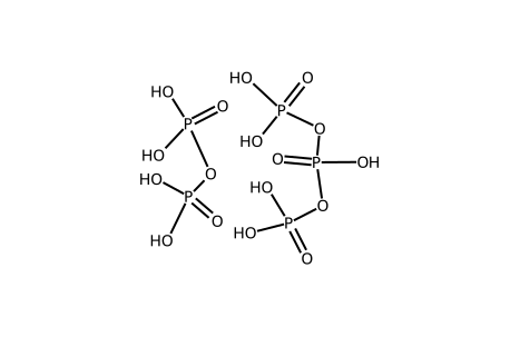 O=P(O)(O)OP(=O)(O)O.O=P(O)(O)OP(=O)(O)OP(=O)(O)O